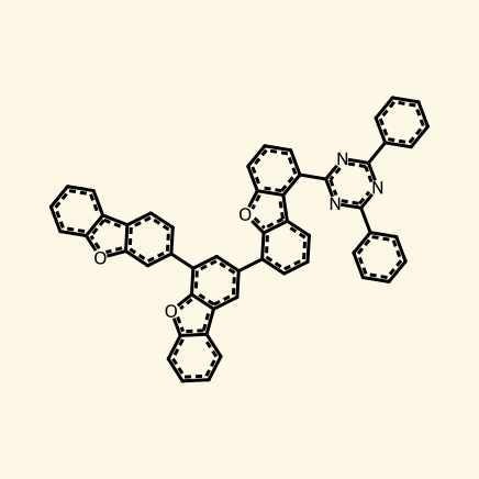 c1ccc(-c2nc(-c3ccccc3)nc(-c3cccc4oc5c(-c6cc(-c7ccc8c(c7)oc7ccccc78)c7oc8ccccc8c7c6)cccc5c34)n2)cc1